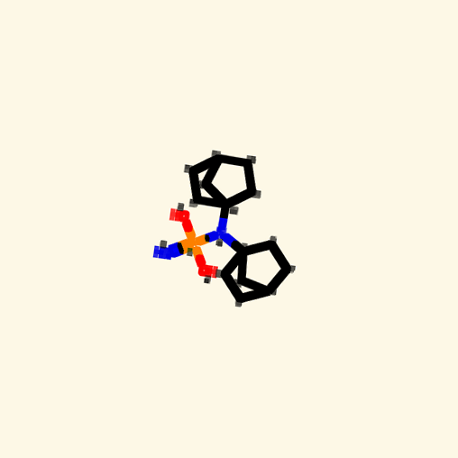 N=P(O)(O)N(C12CCC(CC1)C2)C12CCC(CC1)C2